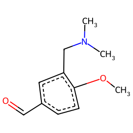 COc1ccc(C=O)cc1CN(C)C